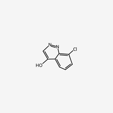 Oc1cnnc2c(Cl)cccc12